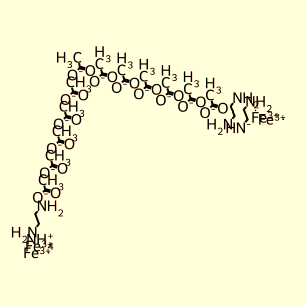 CC(=O)[O-].CC(=O)[O-].CC(=O)[O-].CC(=O)[O-].CC(=O)[O-].CC(=O)[O-].CC(=O)[O-].CC(=O)[O-].CC(=O)[O-].CC(=O)[O-].CC(=O)[O-].CC(=O)[O-].NCCN.NCCN.[Fe+3].[Fe+3].[Fe+3].[Fe+3].[NH-]CCN.[NH4+]